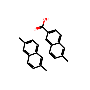 Cc1ccc2cc(C(=O)O)ccc2c1.Cc1ccc2cc(C)ccc2c1